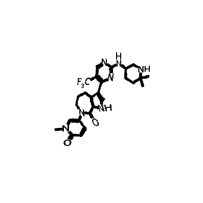 Cn1cc(N2CCCc3c(-c4nc(NC5CCC(C)(C)NC5)ncc4C(F)(F)F)c[nH]c3C2=O)ccc1=O